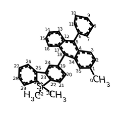 Cc1ccc2c(-c3ccccc3)c3ccccc3c(-c3ccc4c(c3)-c3ccccc3[Si]4(C)C)c2c1